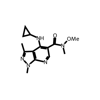 CON(C)C(=O)c1cnc2c(c(C)nn2C)c1NC1CC1